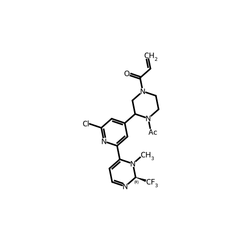 C=CC(=O)N1CCN(C(C)=O)C(c2cc(Cl)nc(C3=CC=N[C@H](C(F)(F)F)N3C)c2)C1